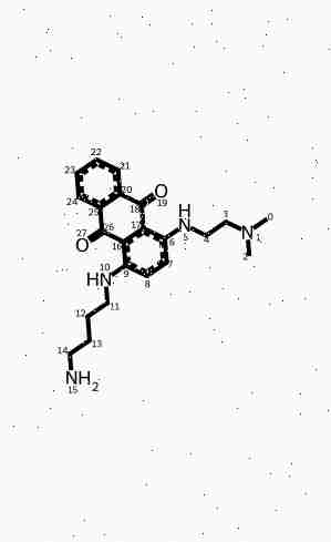 CN(C)CCNc1ccc(NCCCCN)c2c1C(=O)c1ccccc1C2=O